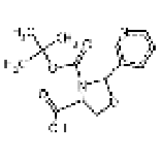 CC(C)(C)OC(=O)N1C(C(=O)O)COC1c1cccnc1